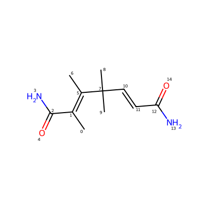 CC(C(N)=O)=C(C)C(C)(C)C=CC(N)=O